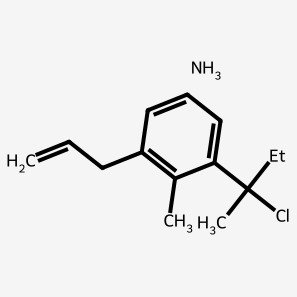 C=CCc1cccc(C(C)(Cl)CC)c1C.N